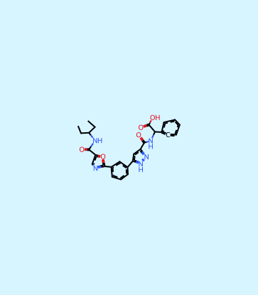 CCC(CC)NC(=O)c1cnc(-c2cccc(-c3cc(C(=O)NC(C(=O)O)c4ccccc4)n[nH]3)c2)o1